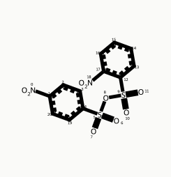 O=[N+]([O-])c1ccc(S(=O)(=O)OS(=O)(=O)c2ccccc2[N+](=O)[O-])cc1